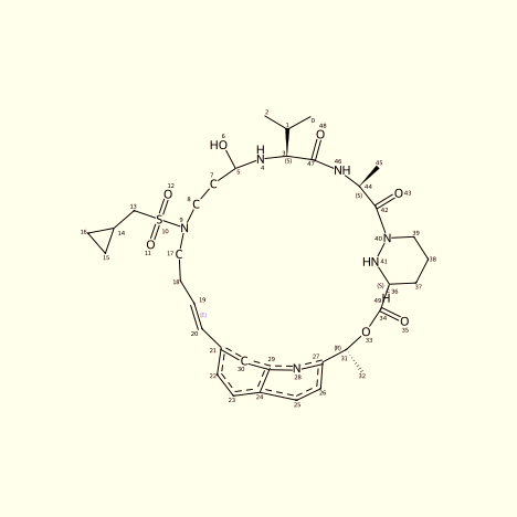 CC(C)[C@@H]1NC(O)CCN(S(=O)(=O)CC2CC2)CC/C=C/c2ccc3ccc(nc3c2)[C@@H](C)OC(=O)[C@@H]2CCCN(N2)C(=O)[C@H](C)NC1=O